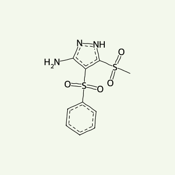 CS(=O)(=O)c1[nH]nc(N)c1S(=O)(=O)c1ccccc1